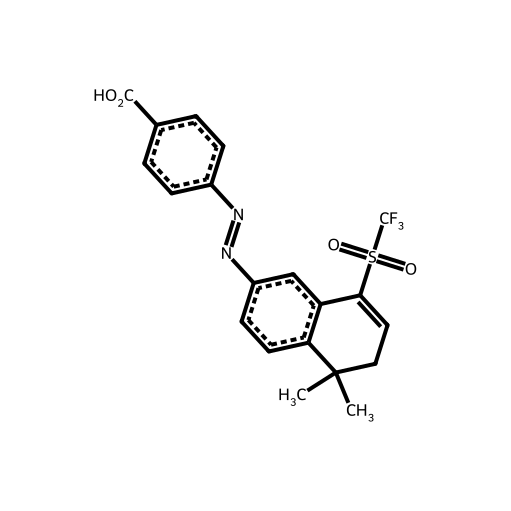 CC1(C)CC=C(S(=O)(=O)C(F)(F)F)c2cc(N=Nc3ccc(C(=O)O)cc3)ccc21